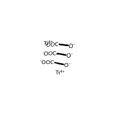 O=C([O-])[O-].O=C([O-])[O-].O=C([O-])[O-].[Ti+4].[Ti+4]